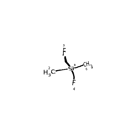 C[Si](C)(F)F